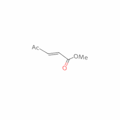 COC(=O)C=CC(C)=O